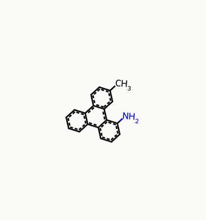 Cc1ccc2c3ccccc3c3cccc(N)c3c2c1